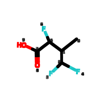 CC(C(F)F)C(F)C(=O)O